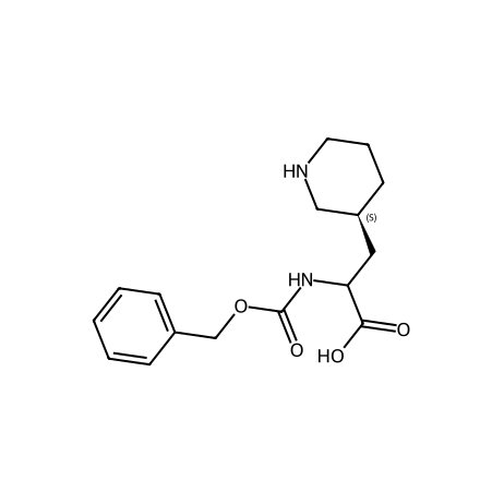 O=C(NC(C[C@@H]1CCCNC1)C(=O)O)OCc1ccccc1